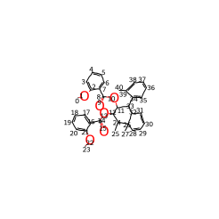 COc1ccccc1C(=O)OC1C(OC(=O)c2ccccc2OC)C(C)C2(C)C=CC=CC2C1c1ccccc1C